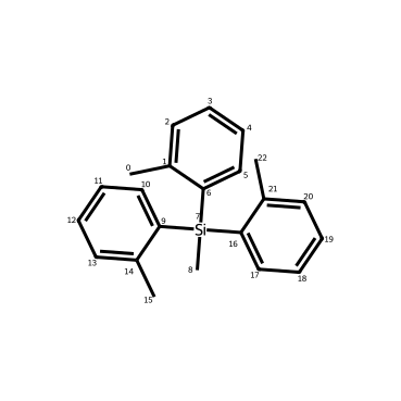 Cc1ccccc1[Si](C)(c1ccccc1C)c1ccccc1C